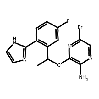 CC(Oc1nc(Br)cnc1N)c1cc(F)ccc1-c1ncc[nH]1